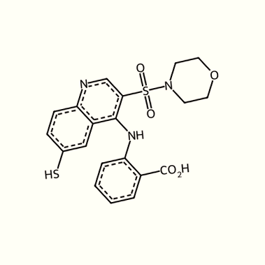 O=C(O)c1ccccc1Nc1c(S(=O)(=O)N2CCOCC2)cnc2ccc(S)cc12